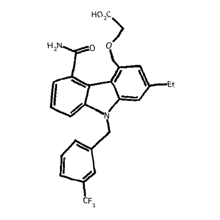 CCc1cc(OCC(=O)O)c2c3c(C(N)=O)cccc3n(Cc3cccc(C(F)(F)F)c3)c2c1